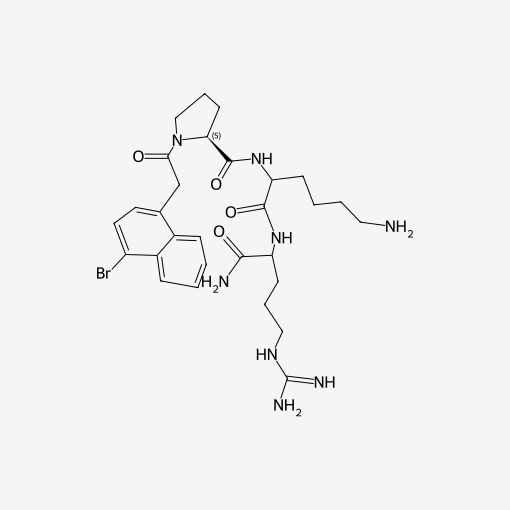 N=C(N)NCCCC(NC(=O)C(CCCCN)NC(=O)[C@@H]1CCCN1C(=O)Cc1ccc(Br)c2ccccc12)C(N)=O